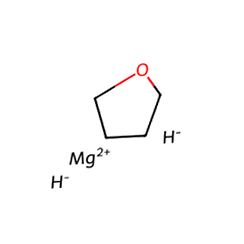 C1CCOC1.[H-].[H-].[Mg+2]